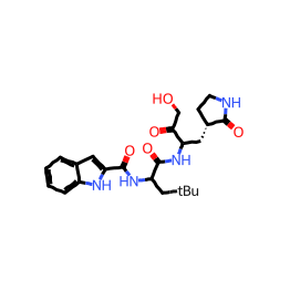 CC(C)(C)CC(NC(=O)c1cc2ccccc2[nH]1)C(=O)NC(C[C@@H]1CCNC1=O)C(=O)CO